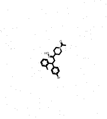 CC(=O)N1CCC(/C(CC(c2ccc(Br)cc2)c2ccccc2C)=N\O)CC1